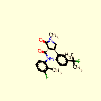 Cc1c(F)cccc1NC(=O)[C@@H]1C(=O)N(C)C[C@H]1c1cccc(C(C)(C)F)c1